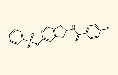 O=C(NC1Cc2ccc(OS(=O)(=O)c3ccccc3)cc2C1)c1ccc(F)cc1